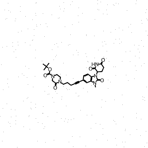 Cn1c(=O)n(C2CCC(=O)NC2=O)c2ccc(C#CCCCN3CCN(C(=O)OC(C)(C)C)CC3=O)cc21